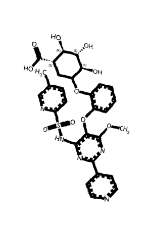 COc1nc(-c2ccncc2)nc(NS(=O)(=O)c2ccc(C)cn2)c1Oc1ccccc1OC1C[C@H](C(=O)O)[C@@H](O)[C@H](O)[C@H]1O